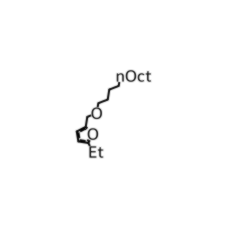 CCCCCCCCCCCCOCc1ccc(CC)o1